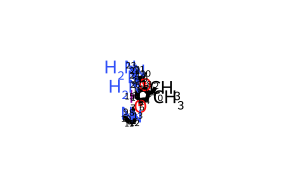 CC(C)c1cc(OCc2ncccn2)c(I)cc1Oc1cnc(N)nc1N